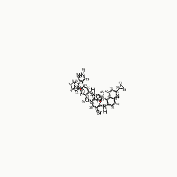 COc1cc(N2C3CC2CN(C)C3)c(-c2cnn(C)c2)cc1Nc1ncc(Br)c(Nc2ccc3nc(C4CC4)ccc3c2P(C)(C)=O)n1